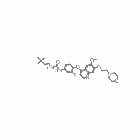 COc1cc2c(Oc3ccc(NC(=O)NCCC(C)(C)C)cc3F)ccnc2cc1OCCN1CCOCC1